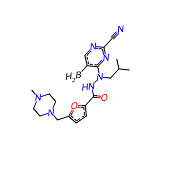 Bc1cnc(C#N)nc1N(CC(C)C)NC(=O)c1ccc(CN2CCN(C)CC2)o1